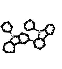 c1ccc(-n2c3ccccc3c3cc(-c4cccc5c6ccccc6n(-c6ccccc6)c45)ccc32)cc1